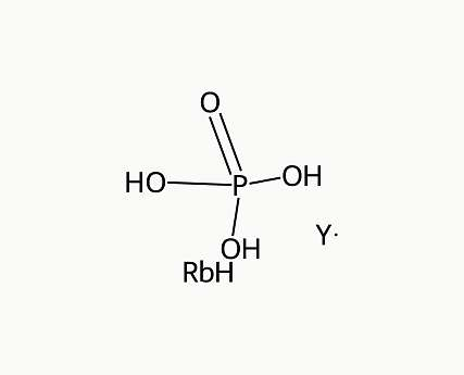 O=P(O)(O)O.[RbH].[Y]